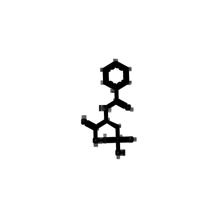 O=C(N[C@@H](CS(=O)(=O)O)C(=O)O)c1ccccc1